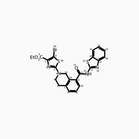 CCOC(=O)c1nc(N2CCc3cccc(C(=O)Nc4nc5ccccc5s4)c3C2)sc1Br